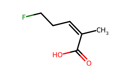 CC(=CCCF)C(=O)O